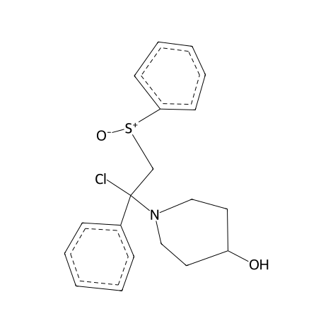 [O-][S+](CC(Cl)(c1ccccc1)N1CCC(O)CC1)c1ccccc1